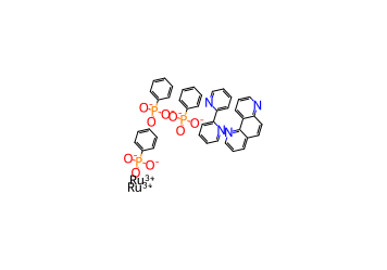 O=P([O-])([O-])c1ccccc1.O=P([O-])([O-])c1ccccc1.O=P([O-])([O-])c1ccccc1.[Ru+3].[Ru+3].c1ccc(-c2ccccn2)nc1.c1cnc2c(c1)ccc1ncccc12